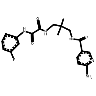 CC(C)(CNC(=O)C(=O)Nc1cccc(F)c1)CNC(=O)c1ccc(N)nc1